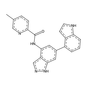 Cc1ccc(C(=O)Nc2cc(-c3cccc4[nH]ccc34)cc3[nH]ncc23)nc1